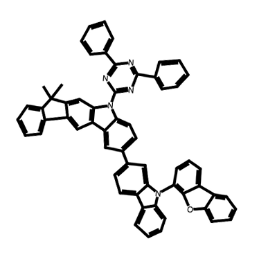 CC1(C)c2ccccc2-c2cc3c4cc(-c5ccc6c7ccccc7n(-c7cccc8c7oc7ccccc78)c6c5)ccc4n(-c4nc(-c5ccccc5)nc(-c5ccccc5)n4)c3cc21